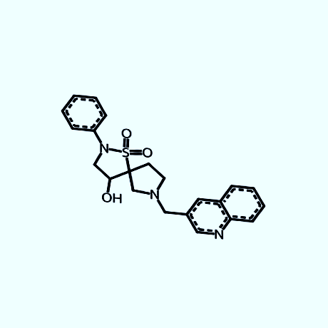 O=S1(=O)N(c2ccccc2)CC(O)C12CCN(Cc1cnc3ccccc3c1)C2